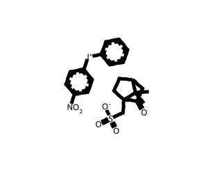 CC1(C)C2CCC1(CS(=O)(=O)[O-])C(=O)C2.O=[N+]([O-])c1ccc([I+]c2ccccc2)cc1